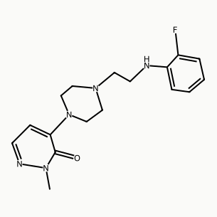 Cn1nccc(N2CCN(CCNc3ccccc3F)CC2)c1=O